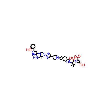 COC(=O)[C@@H]1C[C@@H](O)CN1C(=O)[C@@H](NC(=O)[C@H]1CCC2(CC1)C[C@H](N1CCC(c3cnc(N4CCN5c6cc(-c7ccccc7O)nnc6NC[C@H]5C4)nc3)CC1)C2)C(C)(C)C